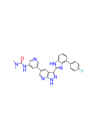 CN(C)C(=O)Nc1cncc(-c2cnc3[nH]nc(-c4nc5c(-c6ccc(F)cc6)cccc5[nH]4)c3c2)c1